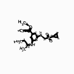 CC[C@H](C)Nc1cc(C(=O)OC)cc(NCS(=O)(=O)C2CC2)n1